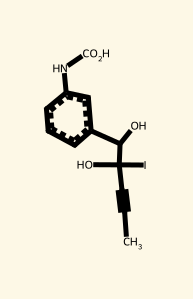 CC#CC(O)(I)C(O)c1cccc(NC(=O)O)c1